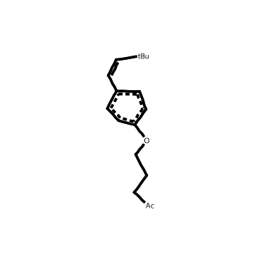 CC(=O)CCCOc1ccc(/C=C\C(C)(C)C)cc1